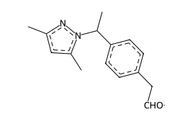 Cc1cc(C)n(C(C)c2ccc(C[C]=O)cc2)n1